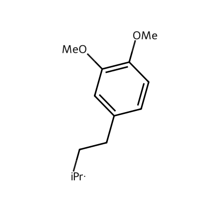 COc1ccc(CC[C](C)C)cc1OC